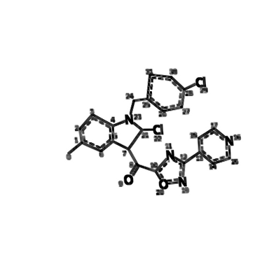 Cc1ccc2c(c1)C(C(=O)c1nc(-c3ccncc3)no1)C(Cl)N2Cc1ccc(Cl)cc1